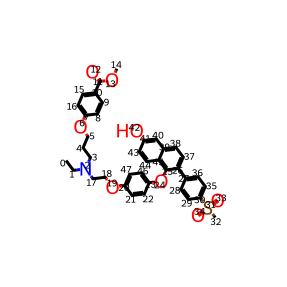 CCN(CCCOc1ccc(C(=O)OC)cc1)CCOc1ccc(Oc2c(-c3ccc(S(C)(=O)=O)cc3)ccc3cc(O)ccc23)cc1